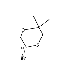 CC(C)[C@@H]1COC(C)(C)CS1